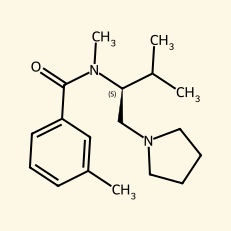 Cc1cccc(C(=O)N(C)[C@H](CN2CCCC2)C(C)C)c1